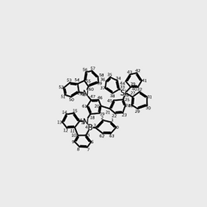 c1ccc(B2c3ccccc3-c3ccccc3N2c2cc(-c3cccc([Si](c4ccccc4)(c4ccccc4)c4ccccc4)c3)cc(-n3c4ccccc4c4ccccc43)c2)cc1